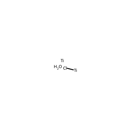 O.[Cl][Ti].[Ti]